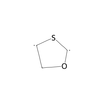 [CH]1CO[CH]S1